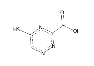 O=C(O)c1nncc(S)n1